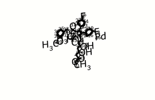 COC(=O)C[C@H](O)C[C@H](O)CCc1c(-c2ccc(F)cc2)c(-c2ccc(F)cc2)c(C(=O)NCc2cccc(OC)c2)n1C(C)C.[Pd]